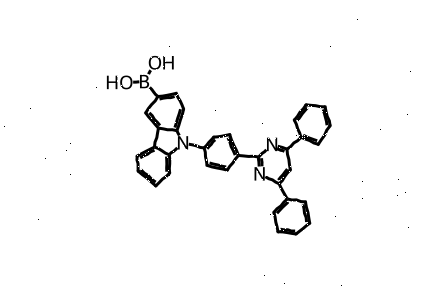 OB(O)c1ccc2c(c1)c1ccccc1n2-c1ccc(-c2nc(-c3ccccc3)cc(-c3ccccc3)n2)cc1